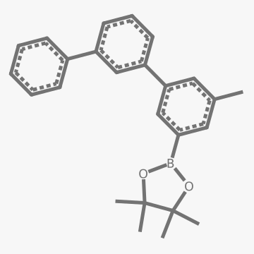 Cc1cc(B2OC(C)(C)C(C)(C)O2)cc(-c2cccc(-c3ccccc3)c2)c1